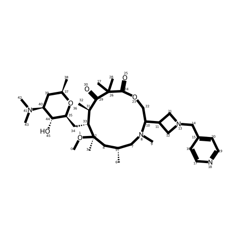 CO[C@]1(C)C[C@@H](C)CN(C)C(C2CN(Cc3ccncc3)C2)COC(=O)C(C)(C)C(=O)[C@H](C)[C@H]1C[C@@H]1O[C@H](C)C[C@H](N(C)C)[C@H]1O